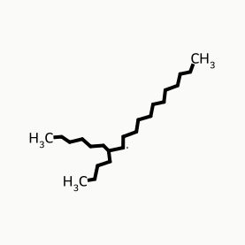 CCCCCCCCCCC[CH]C(CCCC)CCCCCC